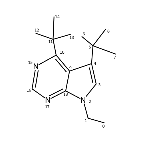 CCn1cc(C(C)(C)C)c2c(C(C)(C)C)ncnc21